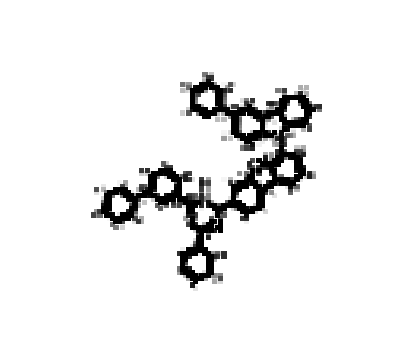 c1ccc(C2=NC(c3ccc4c(c3)oc3c(-n5c6ccccc6c6cc(-c7ccccc7)ccc65)cccc34)NC(c3cccc(-c4ccccc4)c3)=N2)cc1